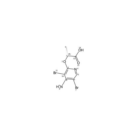 C[C@@H](Oc1ncc(Br)c(N)c1Br)C(=O)O